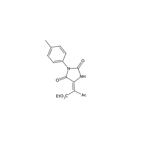 CCOC(=O)C(C(C)=O)=C1NC(=O)N(c2ccc(C)cc2)C1=O